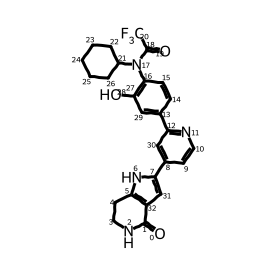 O=C1NCCc2[nH]c(-c3ccnc(-c4ccc(N(C(=O)C(F)(F)F)C5CCCCC5)c(O)c4)c3)cc21